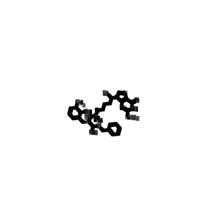 CCC(CCCO[PH](=O)N[C@@H](CC1=CC=CC(C)C1O)C(O)OCc1ccccc1)n1cnc2c(=O)[nH]c(NC(C)=O)nc21